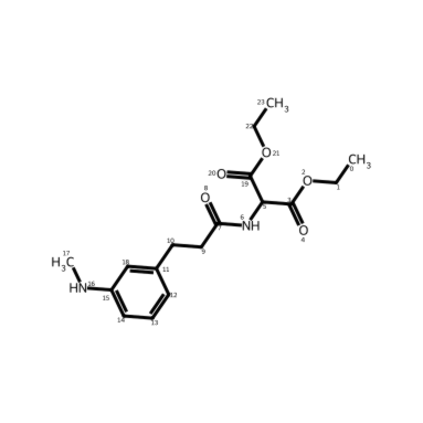 CCOC(=O)C(NC(=O)CCc1cccc(NC)c1)C(=O)OCC